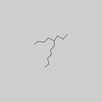 C[CH]CC(CCCC)CCCCCC